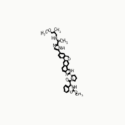 COC[C@@H](C)CN[C@@H](C)c1ncc(-c2ccc3c(c2)COc2cc4c(ccc5nc([C@@H]6CCCN6C(=O)[C@H](NC(=O)OC)c6ccccc6)[nH]c54)cc2-3)[nH]1